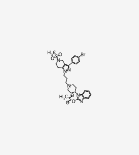 CS(=O)(=O)Oc1nc2ccccc2n1C1CCN(CCCn2nc(-c3ccc(Br)cc3)c3c2CCN(S(C)(=O)=O)C3)CC1